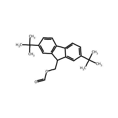 CC(C)(C)c1ccc2c(c1)C(CO[C]=O)c1cc(C(C)(C)C)ccc1-2